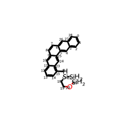 c1ccc2cc3c(ccc4cc5cccc(C[SiH]6CCO[SiH2][SiH2]6)c5cc43)cc2c1